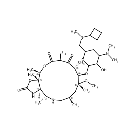 CO[C@]1(C)C[C@@H](C)CN[C@H](C)[C@H]2NC(=O)O[C@]2(C)[C@@H](C)OC(=O)C(C)C(=O)[C@H](C)[C@H]1OC1OC(CN(C)C2CCC2)CC(N(C)C)C1O